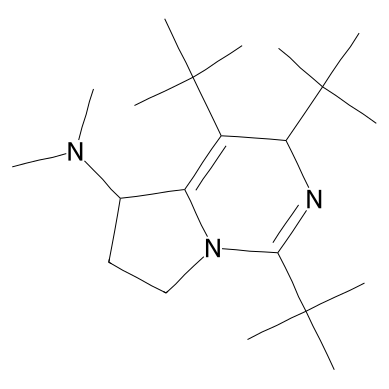 CN(C)C1CCN2C(C(C)(C)C)=NC(C(C)(C)C)C(C(C)(C)C)=C12